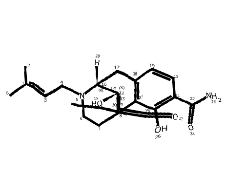 CC(C)=CCN1CCC23CC(=O)CC[C@@]2(O)[C@H]1Cc1ccc(C(N)=O)c(O)c13